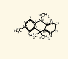 Cc1ccc2c(c1)C(C)(C)C1=NCCN=C1N2C